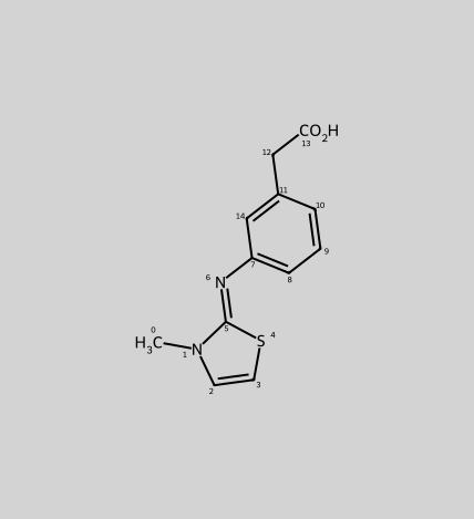 Cn1ccs/c1=N\c1cccc(CC(=O)O)c1